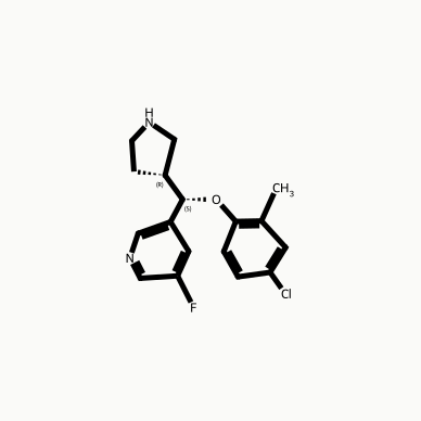 Cc1cc(Cl)ccc1O[C@H](c1cncc(F)c1)[C@@H]1CCNC1